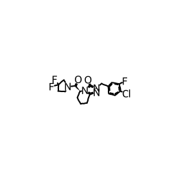 O=C([C@@H]1CCCc2nn(Cc3ccc(Cl)c(F)c3)c(=O)n21)N1CCC(F)(F)C1